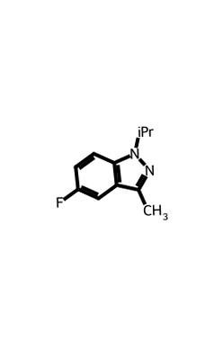 Cc1nn(C(C)C)c2ccc(F)cc12